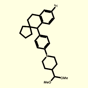 [2H]c1ccc2c(c1)CCC1(CCCC1)C2c1ccc(N2CCC(C(OC)OC)CC2)cc1